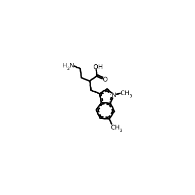 Cc1ccc2c(CC(CCN)C(=O)O)cn(C)c2c1